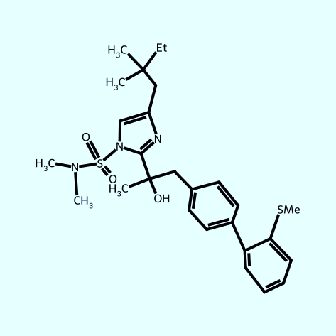 CCC(C)(C)Cc1cn(S(=O)(=O)N(C)C)c(C(C)(O)Cc2ccc(-c3ccccc3SC)cc2)n1